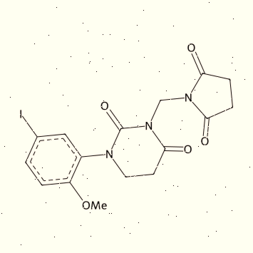 COc1ccc(I)cc1N1CCC(=O)N(CN2C(=O)CCC2=O)C1=O